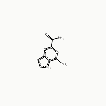 NC(=O)c1nc(N)c2[nH]cnc2n1